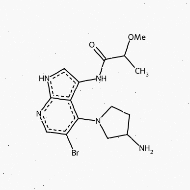 COC(C)C(=O)Nc1c[nH]c2ncc(Br)c(N3CCC(N)C3)c12